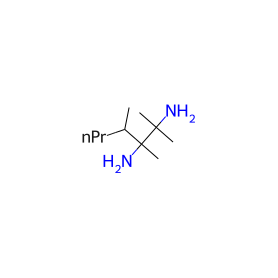 CCCC(C)C(C)(N)C(C)(C)N